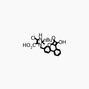 CCCCC1(C)NC(Cl)=C(C(=O)O)N1Cc1ccc(-c2ccccc2-c2c(O)c(=O)c2=O)cc1